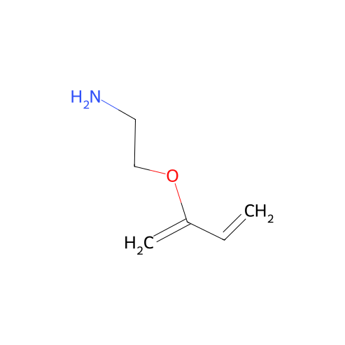 C=CC(=C)OCCN